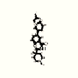 Cc1cn2cc(-c3ccc4nc(C5(C)CCN(C)CC5)[nH]c(=O)c4c3)ccc2n1